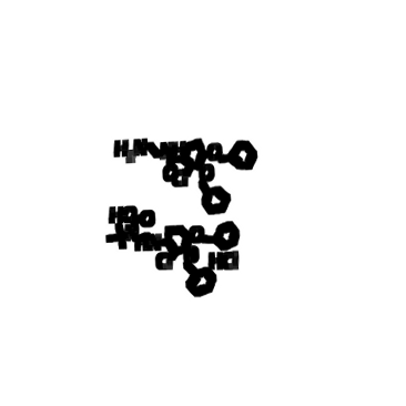 CC(C)(C)N(CCNc1ccc(OCc2ccccc2)c(OCc2ccccc2)c1Cl)C(=O)O.Cl.NCCNC(=O)c1ccc(OCc2ccccc2)c(OCc2ccccc2)c1Cl